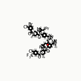 CC(C)Cc1cnn2c3c(c(=O)n(-c4ccc(-c5nncn5CCC(C)Cc5cnn6c7c(c(=O)n(-c8ccc(-c9nncn9C)cc8)c56)C[C@@H](C)N(C(=O)c5ccc(Cl)c(C(F)(F)F)c5)C7)cc4)c12)C[C@@H](C)N(C(=O)c1ccc(Br)c(Cl)c1)C3